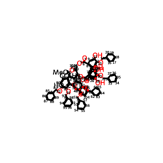 CO[C@H]1O[C@@H]2COC(=O)c3cc(O)c(OCc4ccccc4)c(O)c3-c3c(cc(O)c(OCc4ccccc4)c3O)C(=O)O[C@@H]2[C@H](c2c(C(=O)O)cc(OCc3ccccc3)c(OCc3ccccc3)c2OCc2ccccc2)[C@@H]1c1c(C(=O)O)cc(OCc2ccccc2)c(OCc2ccccc2)c1OCc1ccccc1